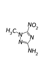 Cn1nc(N)nc1[N+](=O)[O-]